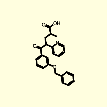 CC(CC(C(=O)c1cccc(OCc2ccccc2)c1)c1ccccn1)C(=O)O